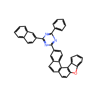 c1ccc(-c2nc(-c3ccc4ccccc4c3)nc(-c3ccc4c(ccc5ccc6oc7ccccc7c6c54)c3)n2)cc1